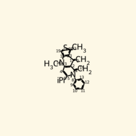 C=C1C2=C(C=C(C(C)C)N(c3ccccc3)C2=C)N(C)c2csc(C)c21